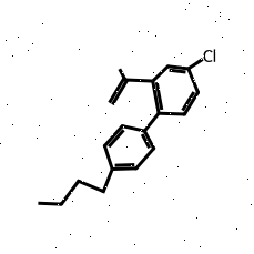 C=C(C)c1cc(Cl)ccc1-c1ccc(CCCC)cc1